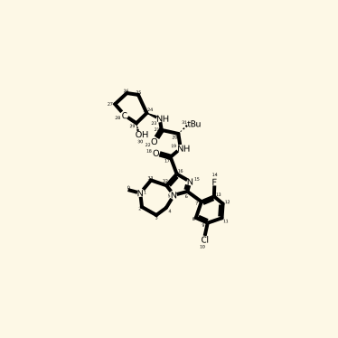 CN1CCCn2c(-c3cc(Cl)ccc3F)nc(C(=O)N[C@H](C(=O)N[C@@H]3CCCC[C@H]3O)C(C)(C)C)c2C1